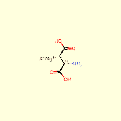 N[C@@H](CC(=O)O)C(=O)O.[K+].[Mg+2]